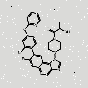 CC(O)C(=O)N1CCN(n2cnc3cnc4cc(F)c(-c5ccc(Oc6ncccn6)cc5Cl)cc4c32)CC1